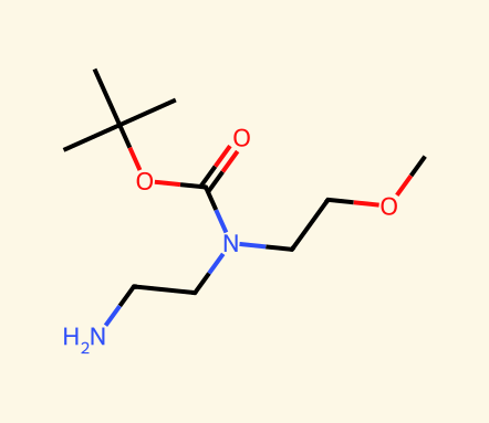 COCCN(CCN)C(=O)OC(C)(C)C